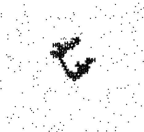 Cc1ncsc1-c1ccc(CNC(=O)[C@@H]2C[C@@H](O)CN2C(=O)[C@@H](NC(=O)CCCCCCCCCN2CCN(C(=O)c3ccc(Nc4nc(C5CC5)cn5c(-c6cn[nH]c6)cnc45)c(F)c3)CC2)C(C)(C)C)cc1